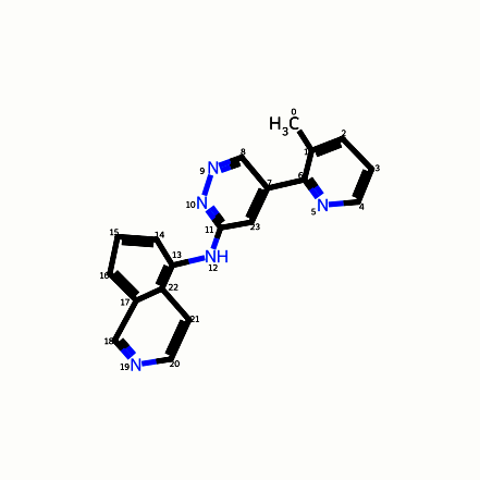 Cc1cccnc1-c1cnnc(Nc2cccc3cnccc23)c1